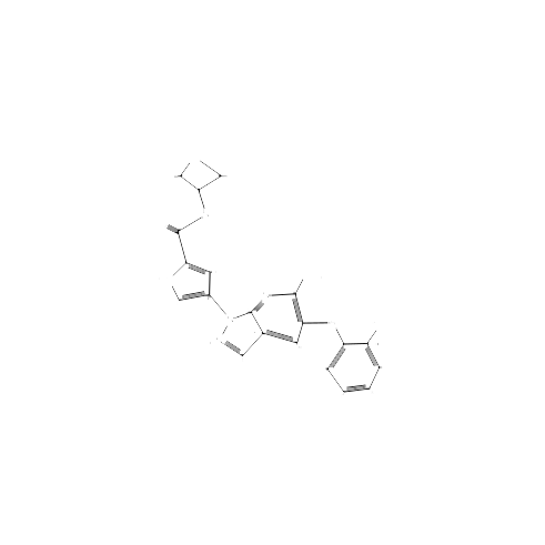 Cc1nc2c(cnn2-c2csc(C(=O)NC3COC3)c2)cc1Nc1ccccc1Cl